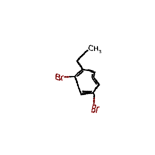 CCc1ccc(Br)cc1Br